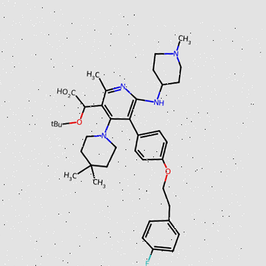 Cc1nc(NC2CCN(C)CC2)c(-c2ccc(OCCc3ccc(F)cc3)cc2)c(N2CCC(C)(C)CC2)c1C(OC(C)(C)C)C(=O)O